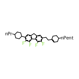 CCCCCC1CC=C(CCc2cc3c(c(F)c2F)-c2c(cc(C4CCC(CCC)CC4)c(F)c2F)C3)CC1